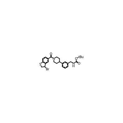 CC(C)(C)OC(=O)NCc1cccc(C2CCN(C(=O)c3ccc4c(c3)C(Br)CS4)CC2)c1